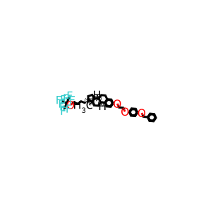 C[C@]12CC[C@@H]3c4ccc(OCCOc5ccc(OCc6ccccc6)cc5)cc4CC[C@H]3[C@@H]1CC[C@@H]2CCCCOC(C(F)(F)F)(C(F)(F)F)C(F)(F)F